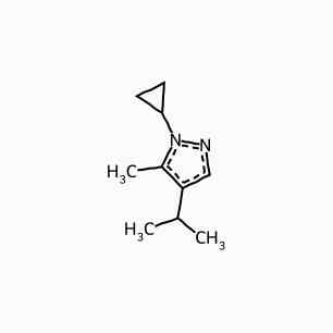 Cc1c(C(C)C)cnn1C1CC1